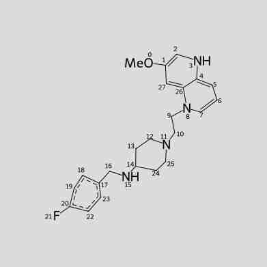 COC1=CNC2=CC=CN(CCN3CCC(NCc4ccc(F)cc4)CC3)C2=C1